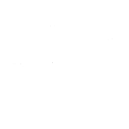 CC(C)CO.O=C1CCCCCCCO1